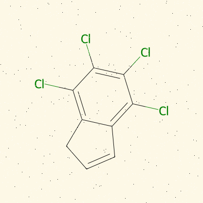 Clc1c(Cl)c(Cl)c2c(c1Cl)C=CC2